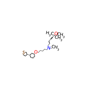 CCN(C/C=C/C#CC(C)(C)OC)CCCCCOc1cccc(-c2ccsc2)c1